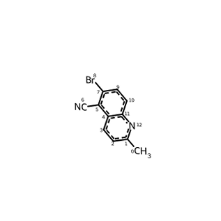 Cc1ccc2c(C#N)c(Br)ccc2n1